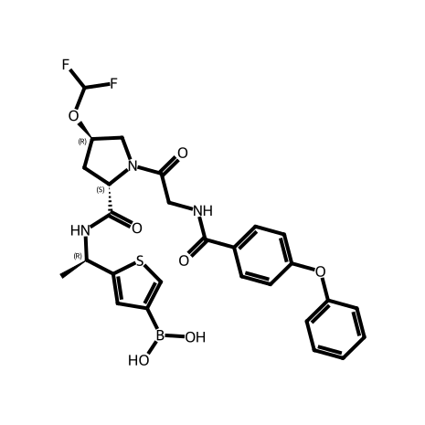 C[C@@H](NC(=O)[C@@H]1C[C@@H](OC(F)F)CN1C(=O)CNC(=O)c1ccc(Oc2ccccc2)cc1)c1cc(B(O)O)cs1